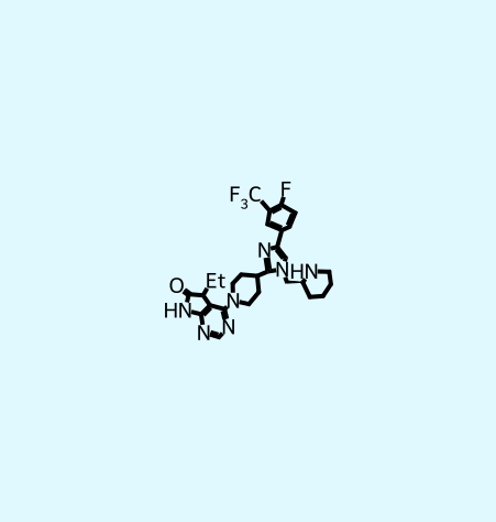 CCC1C(=O)Nc2ncnc(N3CCC(c4nc(-c5ccc(F)c(C(F)(F)F)c5)cn4C[C@@H]4CCCCN4)CC3)c21